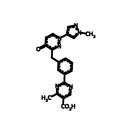 Cc1nc(-c2cccc(Cc3nn(-c4cnn(C)c4)ccc3=O)c2)ncc1C(=O)O